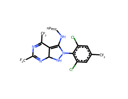 CCCCCNC1=C2C(C(F)(F)F)=NC(C(F)(F)F)=NC2NN1c1c(Cl)cc(C(F)(F)F)cc1Cl